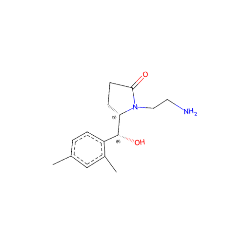 Cc1ccc([C@@H](O)[C@@H]2CCC(=O)N2CCN)c(C)c1